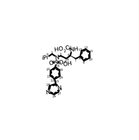 CC(C)CN(C[C@@H](O)[C@H](Cc1ccccc1)NC(=O)O)S(=O)(=O)c1ccc(-c2cnccn2)cc1